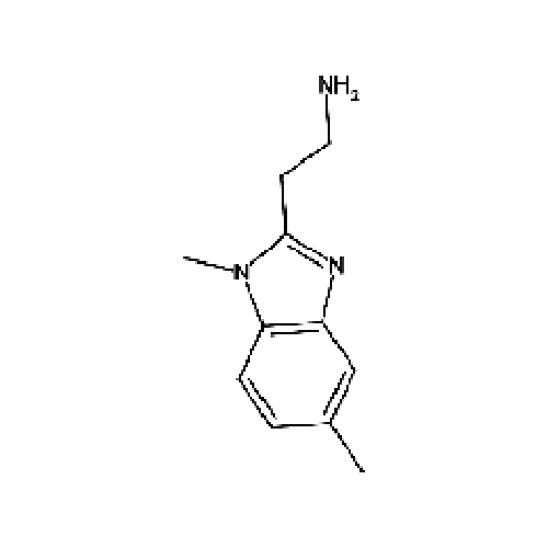 Cc1ccc2c(c1)nc(CCN)n2C